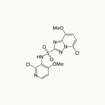 COc1ccnc(Cl)c1NS(=O)(=O)c1nc2c(OC)ccc(Cl)n2n1